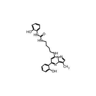 Cc1cnn2c(NCCCCNC(=O)Nc3ccccc3O)cc(-c3ccccc3O)nc12